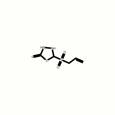 C=CCS(=O)(=O)C1NNC(=S)S1